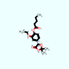 CCCCC(=O)Oc1ccc([C@@H]2OC(C)(C)OC2=O)cc1OCC